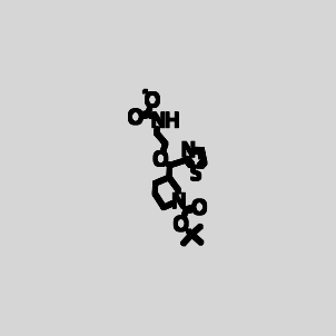 COC(=O)NCCOC(c1nccs1)C1CCCN(C(=O)OC(C)(C)C)C1